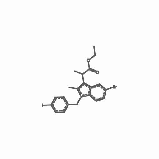 CCOC(=O)C(C)c1c(C)n(Cc2ccc(I)cc2)c2ccc(Br)cc12